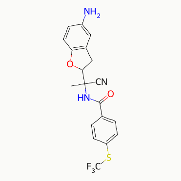 CC(C#N)(NC(=O)c1ccc(SC(F)(F)F)cc1)C1Cc2cc(N)ccc2O1